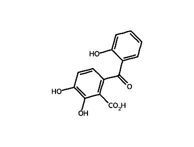 O=C(c1ccccc1O)c1ccc(O)c(O)c1C(=O)O